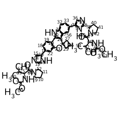 COC(=O)N[C@H](C(=O)N1CCC[C@H]1c1ncc(-c2ccc3c(c2)OC2(CCC2)c2c-3[nH]c3ccc(-c4cnc([C@@H]5CCCN5C(=O)[C@@H](NC(=O)OC)C(C)C)[nH]4)cc23)[nH]1)C(C)C